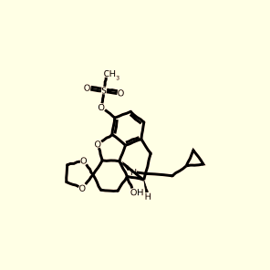 CS(=O)(=O)Oc1ccc2c3c1OC1C4(CCC5(O)[C@@H](C2)N(CC2CC2)CCC[C@]315)OCCO4